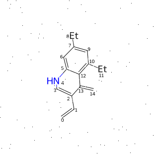 C=CC1=CNc2cc(CC)cc(CC)c2C1=C